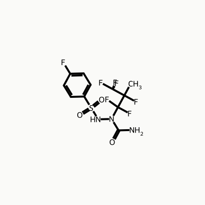 CC(F)(C(F)(F)F)C(F)(F)N(NS(=O)(=O)c1ccc(F)cc1)C(N)=O